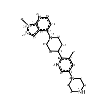 Cc1cc(N2CCNCC2)cnc1C1CCN(c2ccnc3c2cnn3C)CC1